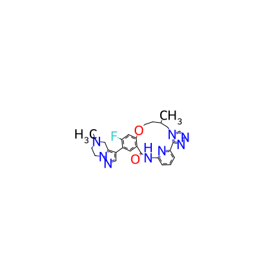 CC1CCOc2cc(F)c(-c3cnn4c3CN(C)CC4)cc2C(=O)Nc2cccc(n2)-c2nncn2C1